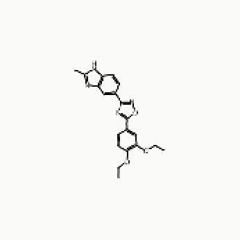 CCOc1ccc(-c2nc(-c3ccc4[nH]c(C)nc4c3)no2)cc1OCC